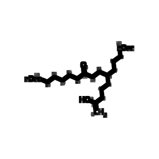 C=C(O)CCCC(CCCCCCCCCCCCC)CCC(=O)CCCCCCCCCCCCCCC